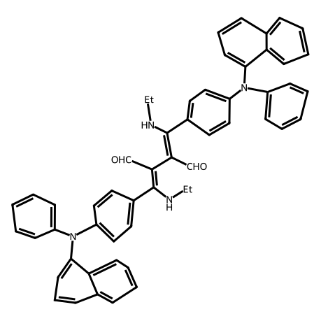 CCN/C(=C(C=O)\C(C=O)=C(/NCC)c1ccc(N(c2ccccc2)c2cccc3ccccc23)cc1)c1ccc(N(c2ccccc2)c2cccc3ccccc23)cc1